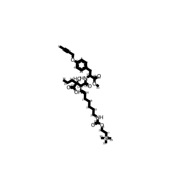 CC#CCOc1ccc(CC(NC(=O)[C@@H](C=CCCCCCNC(=O)OCC[Si](C)(C)C)[C@@](O)(CCC)C(=O)O)C(=O)OC)cc1